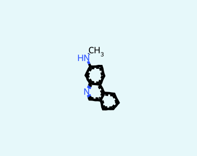 CNc1ccc2c(c1)ncc1ccccc12